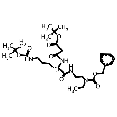 CCN(CCNC(=O)[C@H](CCCCNC(=O)OC(C)(C)C)NC(=O)CC(=O)OC(C)(C)C)C(=O)OCc1ccccc1